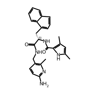 Cc1cc(C)c(C(=O)N[C@@H](Cc2cccc3ccccc23)C(=O)NCc2ccc(N)nc2C)[nH]1